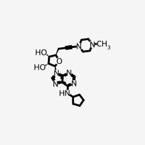 CN1CCN(C#CC[C@H]2O[C@@H](n3cnc4c(NC5CCCC5)ncnc43)[C@H](O)[C@@H]2O)CC1